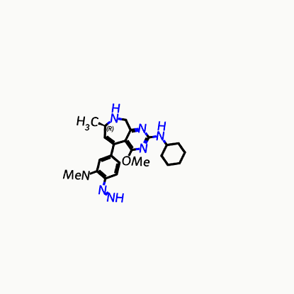 CNc1cc(C2=C[C@@H](C)NCc3nc(NC4CCCCC4)nc(OC)c32)ccc1N=N